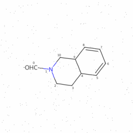 O=[C]N1CCC2C=CC=CC2C1